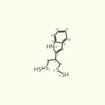 SSCC(CSS)c1cc2ccccc2[nH]1